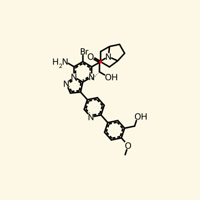 COc1ccc(-c2ccc(-c3cnn4c(N)c(Br)c(C5CC6CCC(C5)N6C(=O)[C@@H](C)O)nc34)cn2)cc1CO